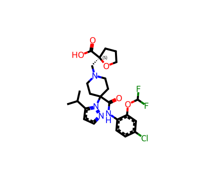 CC(C)c1ccnn1C1(C(=O)Nc2ccc(Cl)cc2OC(F)F)CCN(C[C@]2(C(=O)O)CCCO2)CC1